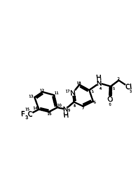 O=C(CCl)Nc1ccc(Nc2cccc(C(F)(F)F)c2)nc1